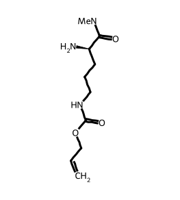 C=CCOC(=O)NCCC[C@@H](N)C(=O)NC